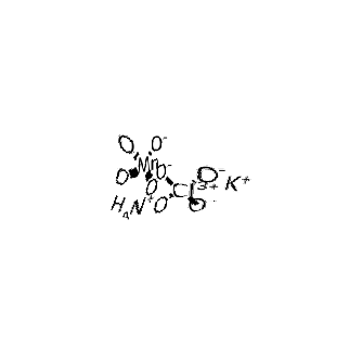 [K+].[NH4+].[O-][Cl+3]([O-])([O-])[O-].[O]=[Mn](=[O])(=[O])[O-]